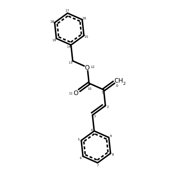 C=C(C=Cc1ccccc1)C(=O)OCc1ccccc1